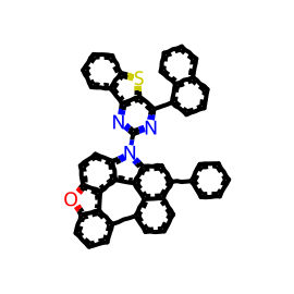 c1ccc(-c2cc3c4c5c(cccc25)-c2cccc5oc6ccc(c4c6c25)n3-c2nc(-c3cccc4ccccc34)c3sc4ccccc4c3n2)cc1